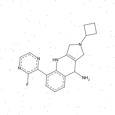 NC1C2=C(CN(C3CCC3)C2)Nc2c(-c3nccnc3F)cccc21